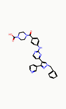 O=C(O)N1CCN(C(=O)c2ccc(Nc3nccc(-c4cn(Cc5ccccc5)nc4-c4cccnc4)n3)cc2)CC1